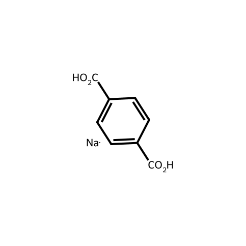 O=C(O)c1ccc(C(=O)O)cc1.[Na]